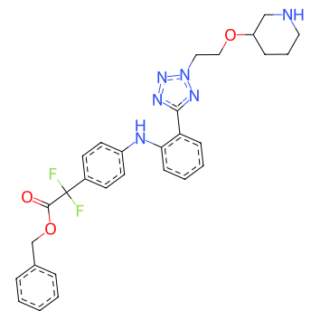 O=C(OCc1ccccc1)C(F)(F)c1ccc(Nc2ccccc2-c2nnn(CCOC3CCCNC3)n2)cc1